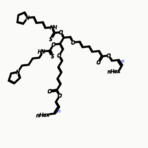 CCCCCC/C=C\COC(=O)CCCCCOCC(OC(=S)NCCCCN1CCCC1)C(COCCCCCC(=O)OC/C=C\CCCCCC)OC(=S)NCCCCN1CCCC1